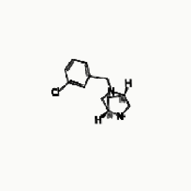 Clc1cccc(CN2C[C@@H]3C[C@H]2C[N]3)c1